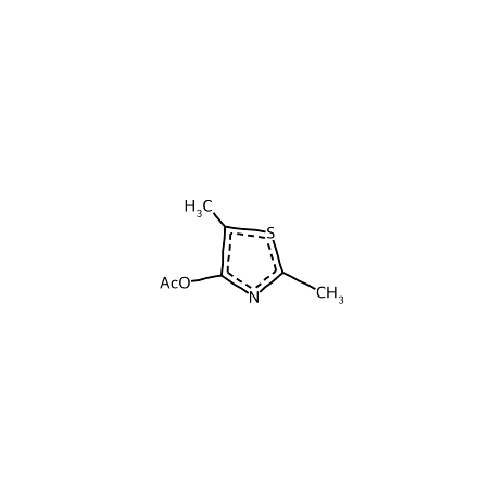 CC(=O)Oc1nc(C)sc1C